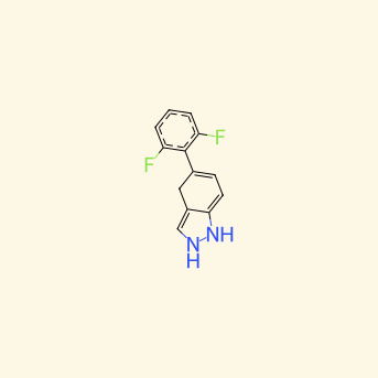 Fc1cccc(F)c1C1=CC=C2NNC=C2C1